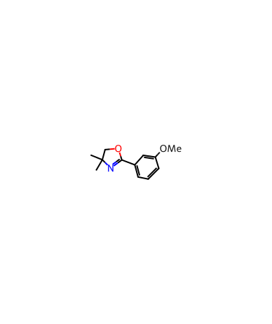 COc1cccc(C2=NC(C)(C)CO2)c1